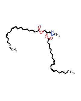 CCCCC/C=C\C/C=C\CCCCCCCC(=O)OCC(CNC)OC(=O)CCCCCCC/C=C\C/C=C\CCCCC